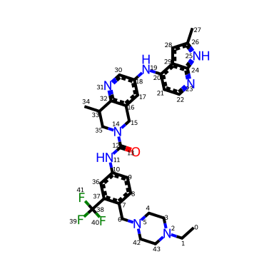 CCN1CCN(Cc2ccc(NC(=O)N3Cc4cc(Nc5ccnc6[nH]c(C)cc56)cnc4C(C)C3)cc2C(F)(F)F)CC1